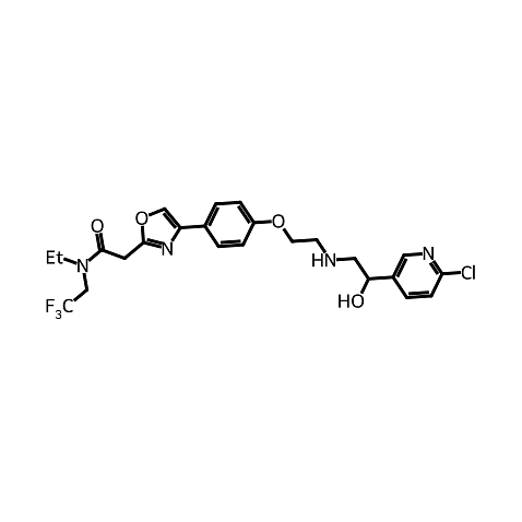 CCN(CC(F)(F)F)C(=O)Cc1nc(-c2ccc(OCCNCC(O)c3ccc(Cl)nc3)cc2)co1